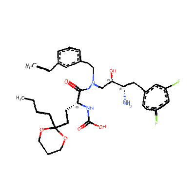 CCCCC1(CC[C@@H](NC(=O)O)C(=O)N(Cc2cccc(CC)c2)C[C@@H](O)[C@@H](N)Cc2cc(F)cc(F)c2)OCCCO1